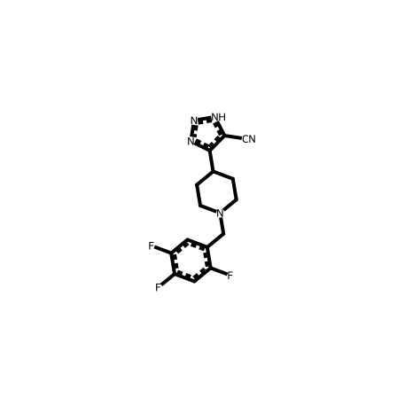 N#Cc1[nH]nnc1C1CCN(Cc2cc(F)c(F)cc2F)CC1